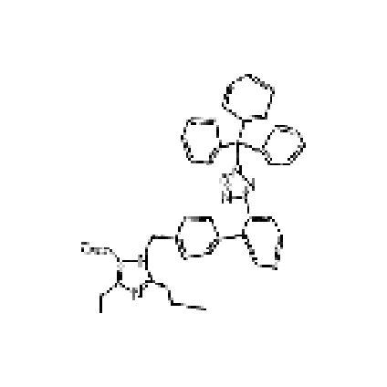 CCCc1nc(CC)c(C=O)n1Cc1ccc(-c2ccccc2-c2nnn(C(c3ccccc3)(c3ccccc3)c3ccccc3)n2)cc1